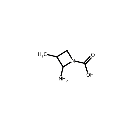 CC1CN(C(=O)O)C1N